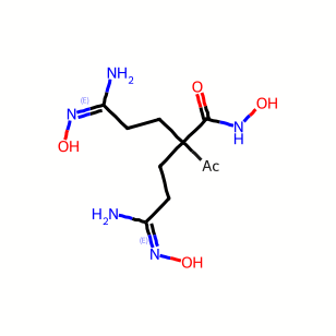 CC(=O)C(CC/C(N)=N\O)(CC/C(N)=N\O)C(=O)NO